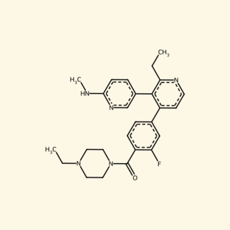 CCc1nccc(-c2ccc(C(=O)N3CCN(CC)CC3)c(F)c2)c1-c1ccc(NC)nc1